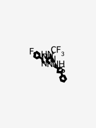 Fc1ccc(-c2cnc3nc(NCc4csc(-c5ccccc5)c4)nc(NCC(F)(F)F)c3n2)cc1